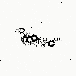 Cc1cccc(S(=O)(=O)NCc2ccc(-c3nn([C@@H]4CCCNC4)c4ncnc(N)c34)cc2)c1